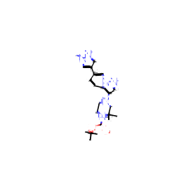 Cn1cc(-c2ccc3c(N4CCN(C(=O)OC(C)(C)C)C(C)(C)C4)cnn3c2)cn1